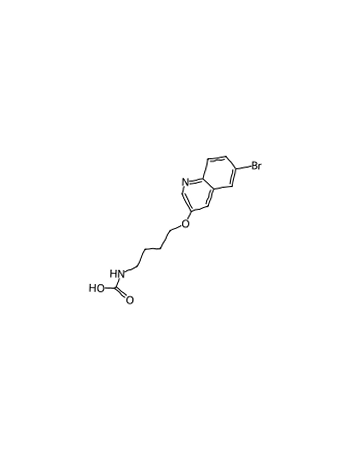 O=C(O)NCCCCOc1cnc2ccc(Br)cc2c1